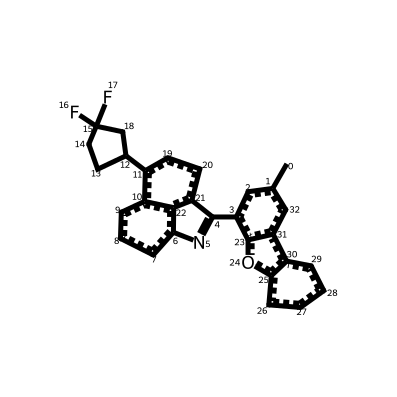 Cc1cc(C2=Nc3cccc4c(C5CCC(F)(F)C5)ccc2c34)c2oc3ccccc3c2c1